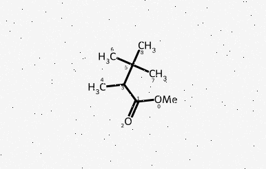 COC(=O)C(C)C(C)(C)C